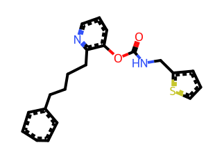 O=C(NCc1cccs1)Oc1cccnc1CCCCc1ccccc1